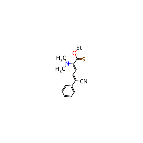 CCOC(=S)C(=CC=C(C#N)c1ccccc1)N(C)C